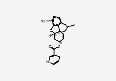 COc1ccc2c3c1O[C@H]1C[C@@H](OC(=O)C4=CNC=CC4)C=C[C@@]31CCN(C)C2